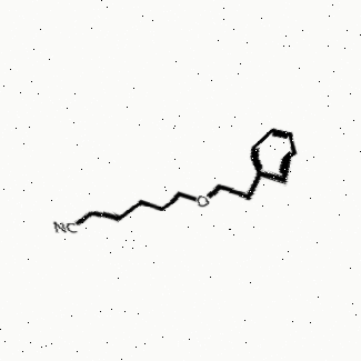 N#CCCCCCOCCc1ccccc1